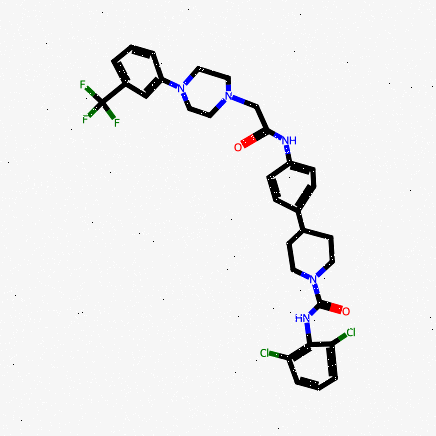 O=C(CN1CCN(c2cccc(C(F)(F)F)c2)CC1)Nc1ccc(C2CCN(C(=O)Nc3c(Cl)cccc3Cl)CC2)cc1